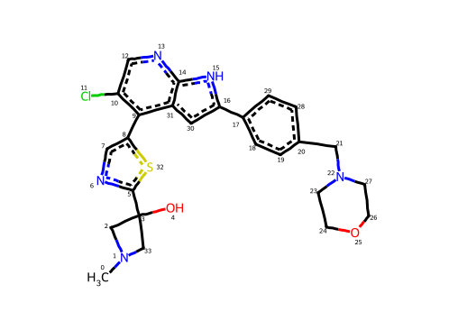 CN1CC(O)(c2ncc(-c3c(Cl)cnc4[nH]c(-c5ccc(CN6CCOCC6)cc5)cc34)s2)C1